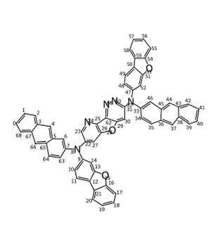 c1ccc2cc3cc(N(c4ccc5c(c4)oc4ccccc45)c4cnc5c(c4)oc4cc(N(c6ccc7cc8ccccc8cc7c6)c6ccc7c(c6)oc6ccccc67)nnc45)ccc3cc2c1